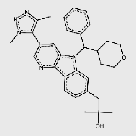 Cc1nnn(C)c1-c1cnc2c3ccc(CC(C)(C)O)cc3n(C(c3ccccc3)C3CCOCC3)c2c1